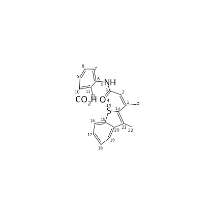 C/C(=C/C(=O)Nc1ccccc1C(=O)O)c1sc2ccccc2c1C